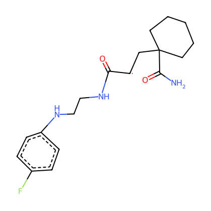 NC(=O)C1(C[CH]C(=O)NCCNc2ccc(F)cc2)CCCCC1